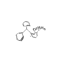 COc1cc[c]c(C(c2ccccc2)c2ccccc2)c1OC